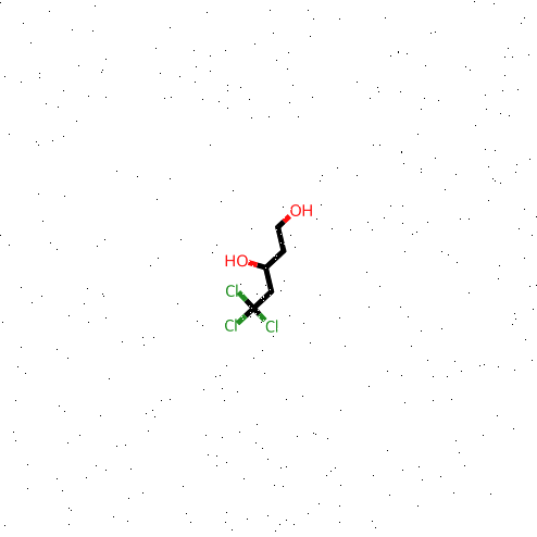 OCCC(O)CC(Cl)(Cl)Cl